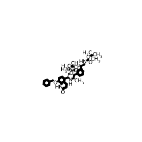 C[C@H](Cc1cccc(CCNC(=O)OC(C)(C)C)c1)N[C@@H](CO[Si](C)(C)C(C)(C)C)c1ccc(OCc2ccccc2)c2[nH]c(=O)ccc12